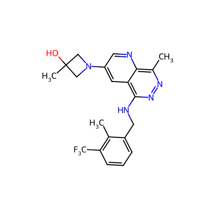 Cc1c(CNc2nnc(C)c3ncc(N4CC(C)(O)C4)cc23)cccc1C(F)(F)F